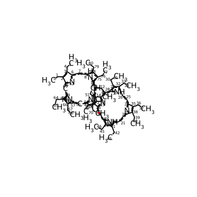 CCC1=C(CC)c2cc3[nH]c(c(Cc4c5nc(cc6[nH]c(cc7nc(cc8[nH]c4c(CC)c8CC)C(CC)=C7CC)c(CC)c6CC)C(CC)=C5CC)c4nc(cc5[nH]c(cc1n2)c(CC)c5CC)C(CC)=C4CC)c(CC)c3CC